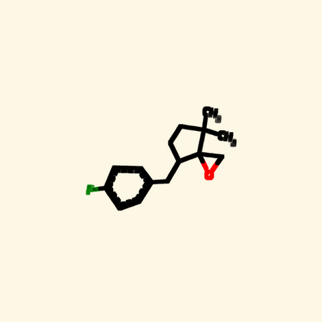 CC1(C)CCC(Cc2ccc(F)cc2)C12CO2